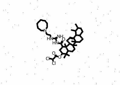 CC1CCC2CCC3(C)C(=CCC4C5(C)C(C(=O)NC(=N)NCCN6CCCCCCC6)CC(OC(=O)C(Cl)Cl)C(C)(C)C5CCC43C)C2C1C